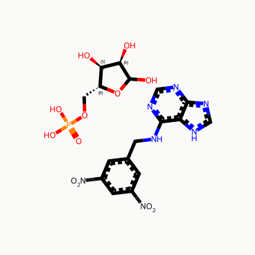 O=P(O)(O)OC[C@H]1OC(O)[C@H](O)[C@@H]1O.O=[N+]([O-])c1cc(CNc2ncnc3nc[nH]c23)cc([N+](=O)[O-])c1